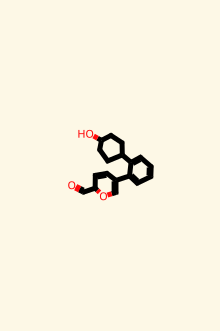 O=CC1C=CC(c2ccccc2C2CCC(O)CC2)=CO1